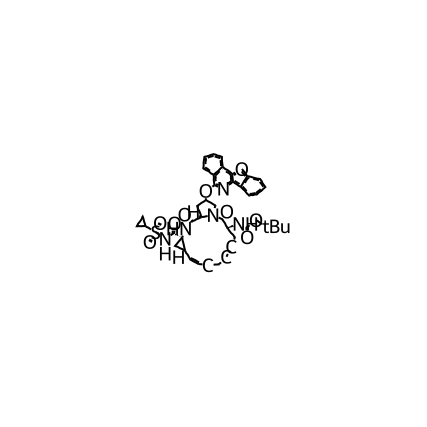 CC(C)(C)OC(=O)N[C@H]1CCCCC/C=C\[C@@H]2C[C@@]2(C(=O)NS(=O)(=O)C2CC2)NC(=O)[C@@H]2C[C@@H](Oc3nc4c5ccccc5oc4c4ccccc34)CN2C1=O